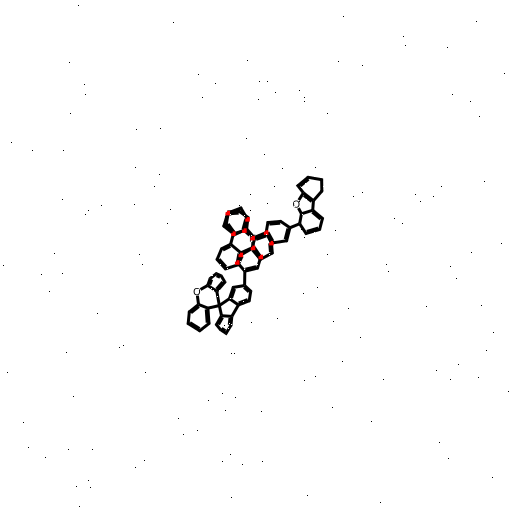 C1=CC(c2ccc(N(c3ccc(-c4ccc5c(c4)C4(c6ccccc6Oc6ccccc64)c4ccccc4-5)cc3)c3ccccc3-c3ccccc3-c3ccccc3-c3ccccc3)cc2)C2OC3=C(CCC=C3)C2=C1